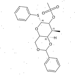 C[C@@H]1C(OS(C)(=O)=O)[C@@H](Sc2ccccc2)OC2COC(c3ccccc3)O[C@@H]21